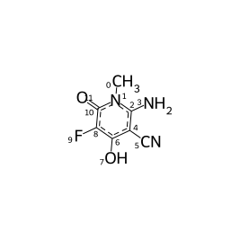 Cn1c(N)c(C#N)c(O)c(F)c1=O